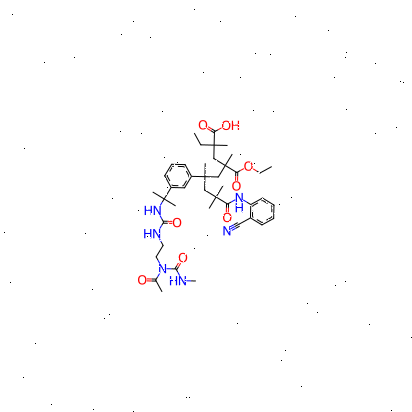 CCOC(=O)C(C)(CC(C)(CC)C(=O)O)CC(C)(CC(C)(C)C(=O)Nc1ccccc1C#N)c1cccc(C(C)(C)NC(=O)NCCN(C(C)=O)C(=O)NC)c1